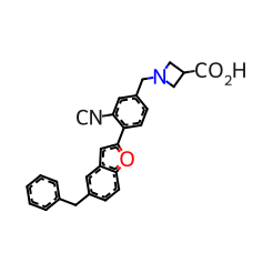 [C-]#[N+]c1cc(CN2CC(C(=O)O)C2)ccc1-c1cc2cc(Cc3ccccc3)ccc2o1